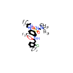 CN(C)C=NS(=O)(=O)c1cc(NC(=O)Cc2cccc(C(F)(F)F)c2Cl)c(C(F)(F)F)cc1-n1cc(C(F)(F)F)cn1